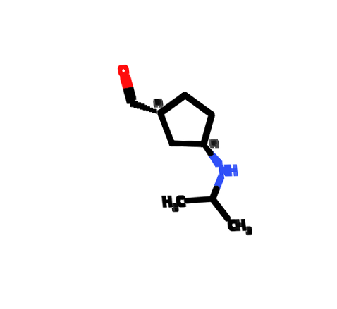 CC(C)N[C@@H]1CC[C@@H](C=O)C1